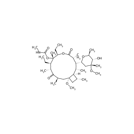 CC[C@@H]1[C@@H](C)C(=O)[C@H](C)C[C@]2(OC)C[C@@H](C)[C@@H]2[C@@H](C)C([C@H]2C[C@@](C)(OC)[C@@H](O)[C@H](C)O2)[C@@H](C)C(=O)O[C@H](CC)[C@@]1(C)OC(=O)NC